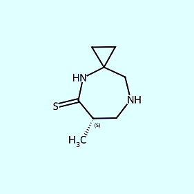 C[C@H]1CNCC2(CC2)NC1=S